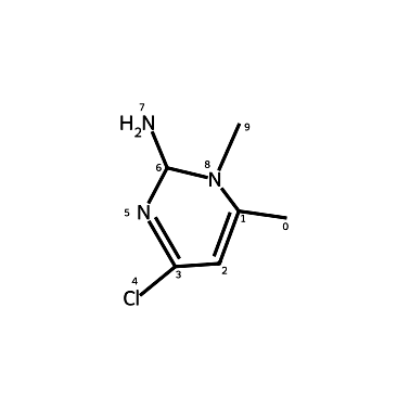 CC1=CC(Cl)=NC(N)N1C